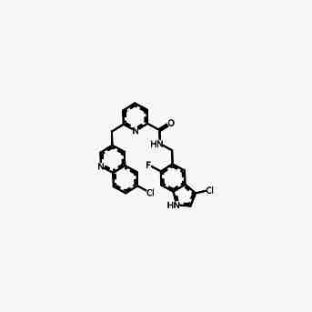 O=C(NCc1cc2c(Cl)c[nH]c2cc1F)c1cccc(Cc2cnc3ccc(Cl)cc3c2)n1